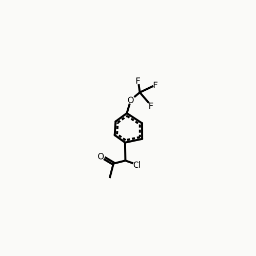 CC(=O)C(Cl)c1ccc(OC(F)(F)F)cc1